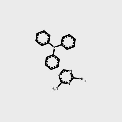 Nc1ncnc(N)n1.c1ccc(P(c2ccccc2)c2ccccc2)cc1